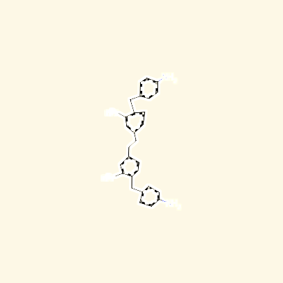 CCCc1cc(CCc2ccc(Cc3ccc(N)cc3)c(CCC)c2)ccc1Cc1ccc(N)cc1